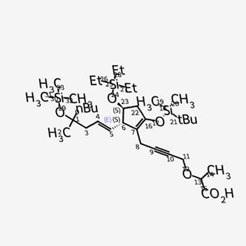 CCCCC(C)(C/C=C/[C@H]1C(CC#CCOC(C)C(=O)O)=C(O[Si](C)(C)C(C)(C)C)C[C@@H]1O[Si](CC)(CC)CC)O[Si](C)(C)C